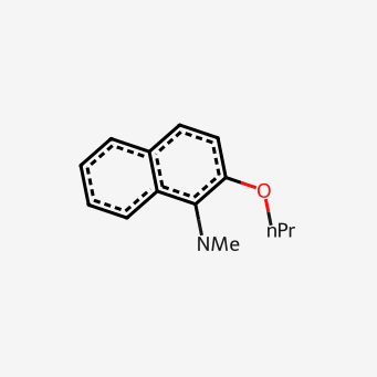 CCCOc1ccc2ccccc2c1NC